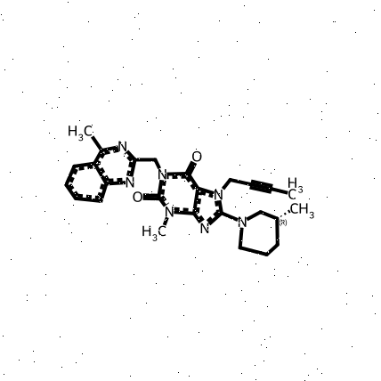 CC#CCn1c(N2CCC[C@@H](C)C2)nc2c1c(=O)n(Cc1nc(C)c3ccccc3n1)c(=O)n2C